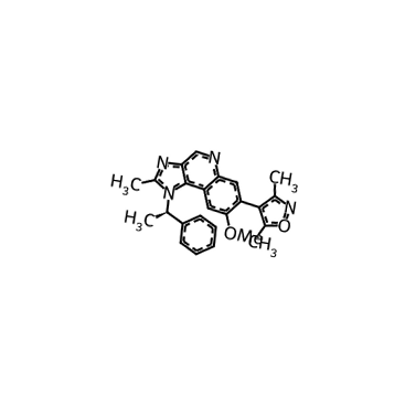 COc1cc2c(cc1-c1c(C)noc1C)ncc1nc(C)n([C@H](C)c3ccccc3)c12